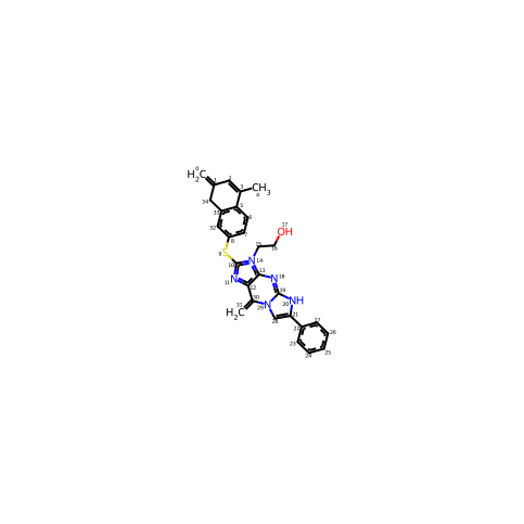 C=C1C=C(C)c2ccc(Sc3nc4c(n3CCO)N=C3NC(c5ccccc5)=CN3C4=C)cc2C1